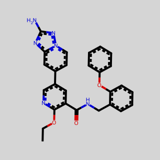 CCOc1ncc(-c2ccn3nc(N)nc3c2)cc1C(=O)NCc1ccccc1Oc1ccccc1